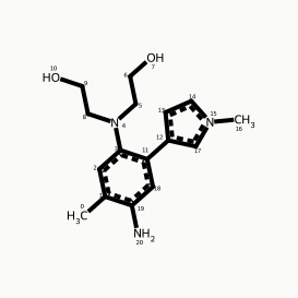 Cc1cc(N(CCO)CCO)c(-c2ccn(C)c2)cc1N